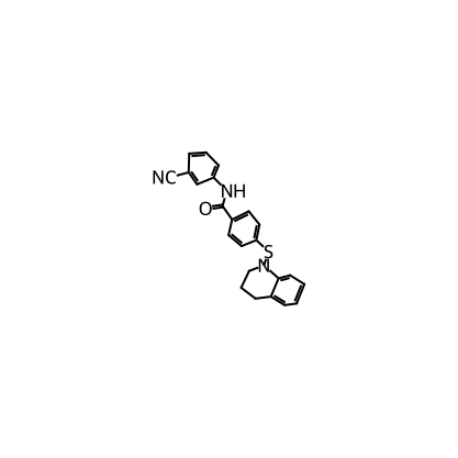 N#Cc1cccc(NC(=O)c2ccc(SN3CCCc4ccccc43)cc2)c1